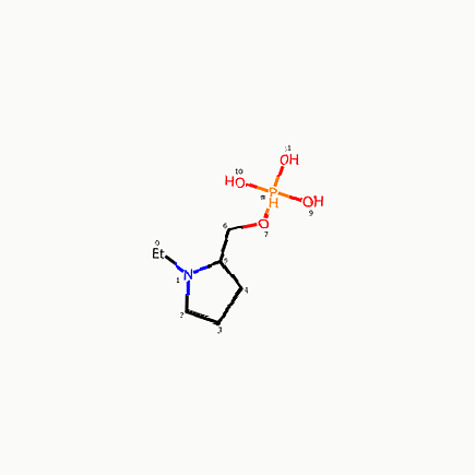 CCN1CCCC1CO[PH](O)(O)O